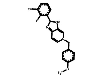 Fc1c(Br)cccc1C1N=C2C=CN(Cc3ccc(OC(F)(F)F)cc3)C=C2N1